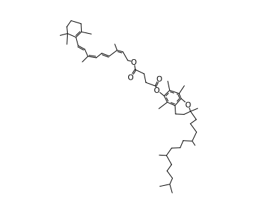 CC(C=CC1=C(C)CCCC1(C)C)=CC=CC(C)=CCOC(=O)CCC(=O)Oc1c(C)c(C)c2c(c1C)CCC(C)(CCCC(C)CCCC(C)CCCC(C)C)O2